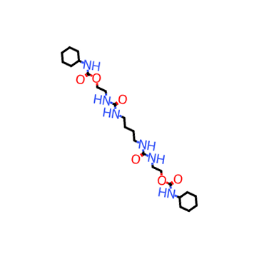 O=C(NCCCCNC(=O)NCCOC(=O)NC1CCCCC1)NCCOC(=O)NC1CCCCC1